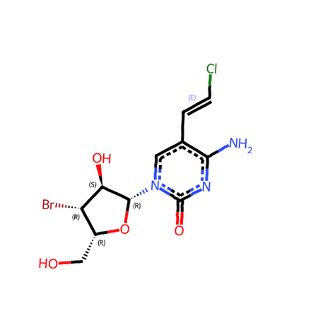 Nc1nc(=O)n([C@@H]2O[C@H](CO)[C@H](Br)[C@H]2O)cc1/C=C/Cl